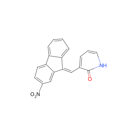 O=c1[nH]cccc1/C=C1\c2ccccc2-c2ccc([N+](=O)[O-])cc21